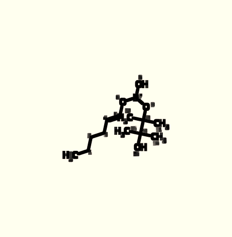 CCCCC=COB(O)OC(C)(C)C(C)(C)O